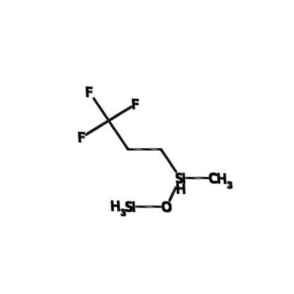 C[SiH](CCC(F)(F)F)O[SiH3]